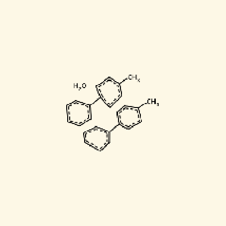 Cc1ccc(-c2ccccc2)cc1.Cc1ccc(-c2ccccc2)cc1.O